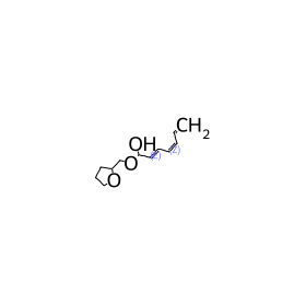 C=C/C=C\C=C\C(O)OCC1CCCO1